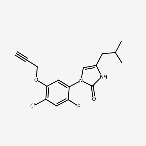 C#CCOc1cc(-n2cc(CC(C)C)[nH]c2=O)c(F)cc1Cl